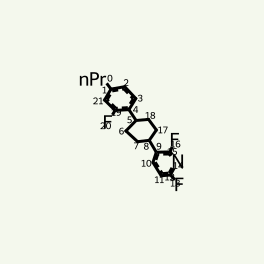 CCCc1ccc(C2CCC(c3ccc(F)nc3F)CC2)c(F)c1